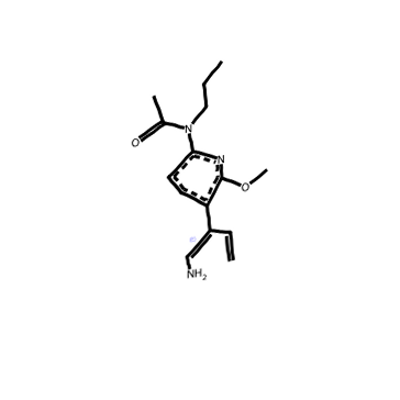 C=C/C(=C\N)c1ccc(N(CCC)C(C)=O)nc1OC